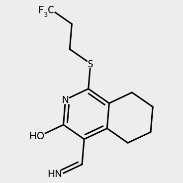 N=Cc1c(O)nc(SCCC(F)(F)F)c2c1CCCC2